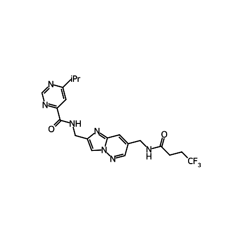 CC(C)c1cc(C(=O)NCc2cn3ncc(CNC(=O)CCC(F)(F)F)cc3n2)ncn1